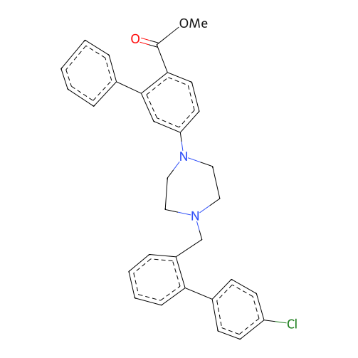 COC(=O)c1ccc(N2CCN(Cc3ccccc3-c3ccc(Cl)cc3)CC2)cc1-c1ccccc1